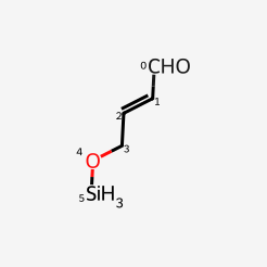 O=CC=CCO[SiH3]